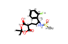 CC1(C)OC(=O)C(CC[C@](C)(N[S+]([O-])C(C)(C)C)c2ccccc2F)C(=O)O1